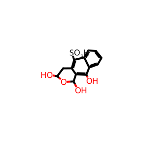 O=S(=O)(O)c1c2c(c(O)c3ccccc13)C(O)OC(O)C2